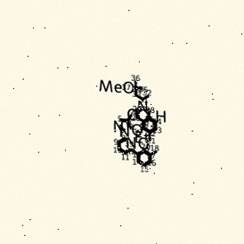 CCOc1c(C(=O)O)cnn1-c1cccc(-c2cccc(C)c2OCc2ccc3c(c2)CCN(C(C)CC(C)(C)OC)C3)n1